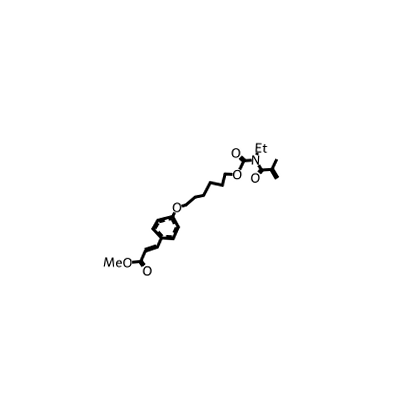 C=C(C)C(=O)N(CC)C(=O)OCCCCCCOc1ccc(C=CC(=O)OC)cc1